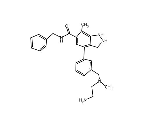 Cc1c(C(=O)NCc2ccccc2)cc(-c2cccc(CN(C)CCN)c2)c2c1NNC2